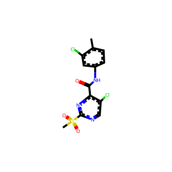 Cc1ccc(NC(=O)c2nc(S(C)(=O)=O)ncc2Cl)cc1Cl